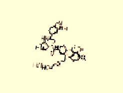 COc1ccc(OCCOCCO)c(C(=O)c2ccc(C(=O)N[C@@H]3CNC[C@H]3NC(=O)c3ccc4cn[nH]c4c3)cc2)c1OC.Cl